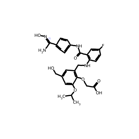 CC(C)Oc1cc(CO)cc(CNc2ccc(F)cc2C(=O)Nc2ccc(/C(N)=N/O)cc2)c1OCC(=O)O